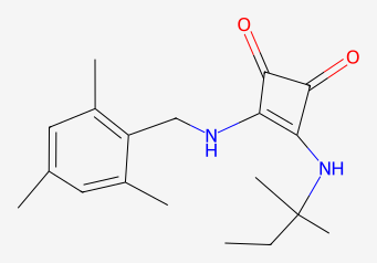 CCC(C)(C)Nc1c(NCc2c(C)cc(C)cc2C)c(=O)c1=O